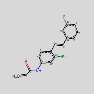 C=CC(=O)Nc1ccc(/C=C/c2cccc(F)c2)c(F)c1